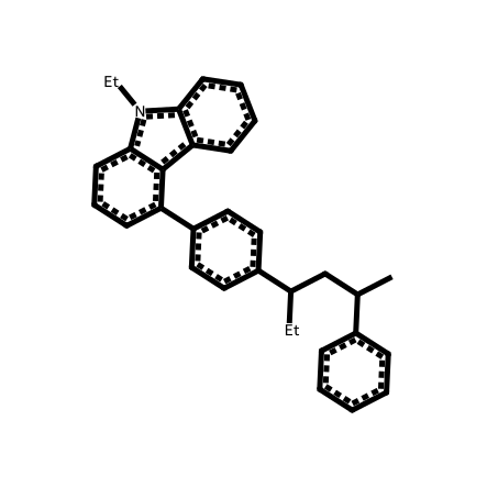 CCC(CC(C)c1ccccc1)c1ccc(-c2cccc3c2c2ccccc2n3CC)cc1